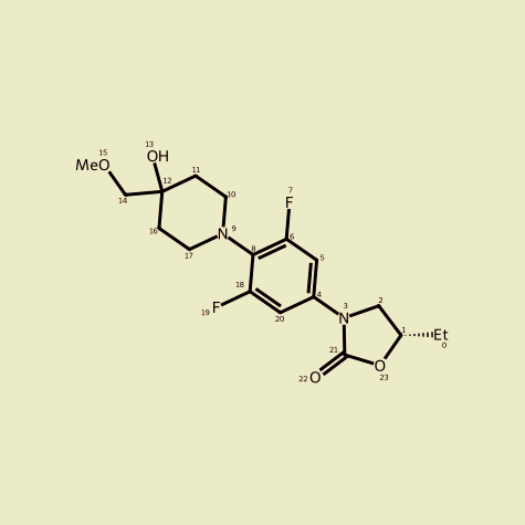 CC[C@H]1CN(c2cc(F)c(N3CCC(O)(COC)CC3)c(F)c2)C(=O)O1